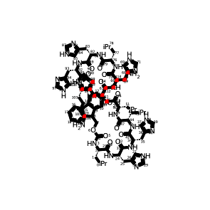 CC(C)C[C@H](NC(=O)OCC1c2ccccc2-c2ccccc21)C(=O)N[C@@H](Cc1c[nH]cn1)C(=O)N[C@@H](Cc1c[nH]cn1)C(=O)N[C@@H](CC(C)C)C(=O)N[C@@H](CC(C)C)C(=O)N[C@@H](Cc1c[nH]cn1)C(=O)N[C@@H](Cc1c[nH]cn1)C(=O)N[C@@H](CC(C)C)C(=O)N[C@@H](Cc1c[nH]cn1)C(=O)N[C@@H](Cc1c[nH]cn1)C(=O)N[C@@H](CCCCN)C(=O)N[C@@H](CCCCN)C(=O)O